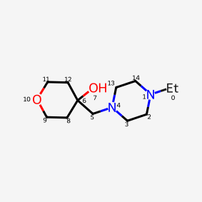 CCN1CCN(CC2(O)CCOCC2)CC1